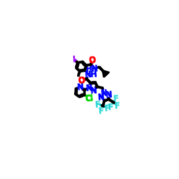 Cc1cc(I)cc(C(=O)NCC2CC2)c1NC(=O)c1cc(Cn2nc(C(F)(F)F)c(C(F)(F)F)n2)nn1-c1ncccc1Cl